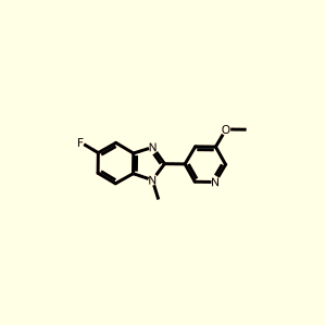 COc1cncc(-c2nc3cc(F)ccc3n2C)c1